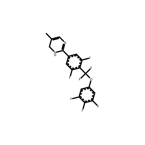 CC1=CN=C(c2cc(F)c(C(F)(F)Oc3cc(F)c(F)c(F)c3)c(F)c2)NC1